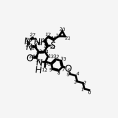 CCCCCCOc1ccc(C2(C)CC(c3ccc(C4CC4)s3)=C(c3nnc[nH]3)C(=O)N2)cc1